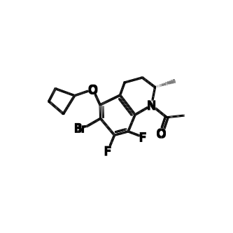 CC(=O)N1c2c(F)c(F)c(Br)c(OC3CCC3)c2CC[C@@H]1C